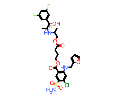 CC(COC(=O)CCCOC(=O)c1cc(S(N)(=O)=O)c(Cl)cc1NCc1ccco1)N[C@@H](C)[C@H](O)c1cc(F)cc(F)c1